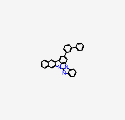 c1ccc(-c2cccc(-c3cc4c5cc6ccccc6cc5n5c4c(c3)n3c4ccccc4nc35)c2)cc1